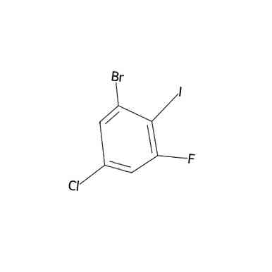 Fc1cc(Cl)cc(Br)c1I